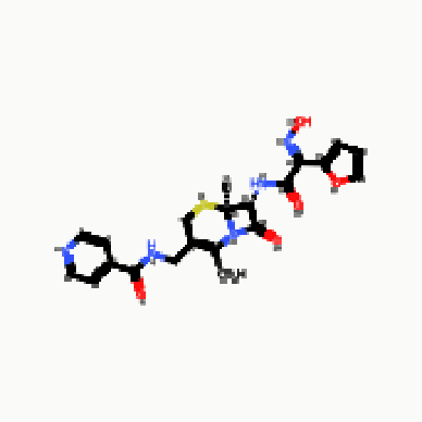 O=C(O)C1=C(CNC(=O)c2ccncc2)CS[C@H]2[C@H](NC(=O)C(=NO)c3ccco3)C(=O)N12